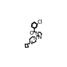 O=C(c1cccc(Cl)c1)N1CCN=C1N1CCN(C2CCC2)CC1